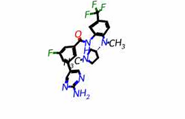 CN1CC[C@@H](N(C)c2ccc(C(F)(F)F)cc2NC(=O)c2cc(F)cc(-c3cnc(N)nc3)c2)C1